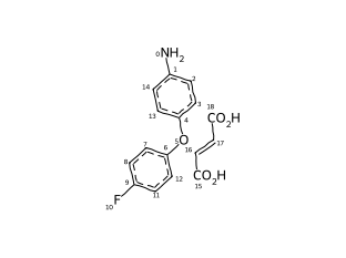 Nc1ccc(Oc2ccc(F)cc2)cc1.O=C(O)C=CC(=O)O